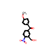 COc1ccc(C(=O)c2ccc([N+](=O)[O-])c(CO)c2)cc1